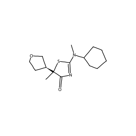 CN(C1=NC(=O)C(C)([C@H]2CCOC2)S1)C1CCCCC1